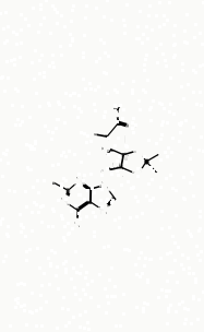 CCNC(=O)C(O)[C@H]1O[C@@H](n2cnc3c(N)nc(Cl)nc32)[C@@H]2OC(C)(C)O[C@@H]21